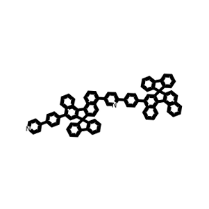 c1ccc2c(c1)-c1ccccc1C21c2ccc3ccccc3c2-c2c1cc(-c1ccc(-c3ccc(-c4cccc5c6c(ccc45)C4(c5ccccc5-c5ccccc54)c4cc(-c5ccc(-c7ccncc7)cc5)c5ccccc5c4-6)cn3)cc1)c1ccccc21